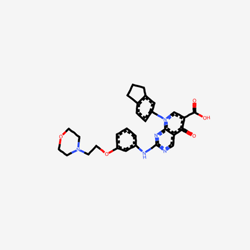 O=C(O)c1cn(-c2ccc3c(c2)CCC3)c2nc(Nc3cccc(OCCN4CCOCC4)c3)ncc2c1=O